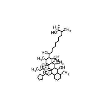 CCC(O)OC1C2(C)C(CCC3CCCC3)C3CCCC(C)C3C(O)C2C(C)C2(C)C(O)C(C(O)CCCCCCCC(C)C(C)O)C(C)CC12C